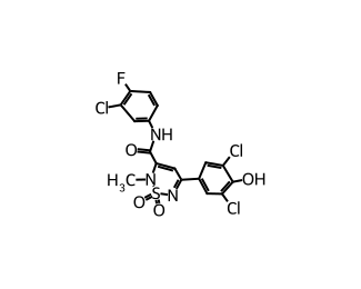 CN1C(C(=O)Nc2ccc(F)c(Cl)c2)=CC(c2cc(Cl)c(O)c(Cl)c2)=NS1(=O)=O